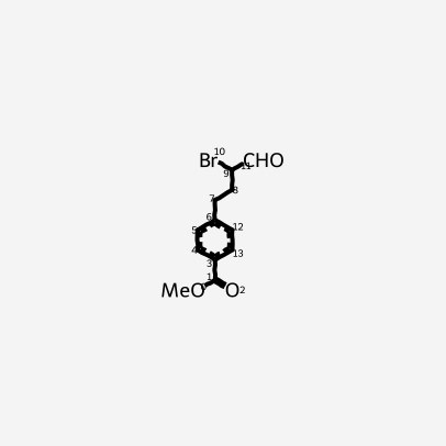 COC(=O)c1ccc(CCC(Br)C=O)cc1